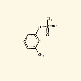 Cc1cccc(OS(=O)(=O)C(F)(F)F)n1